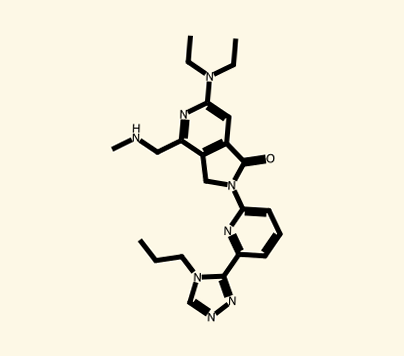 CCCn1cnnc1-c1cccc(N2Cc3c(cc(N(CC)CC)nc3CNC)C2=O)n1